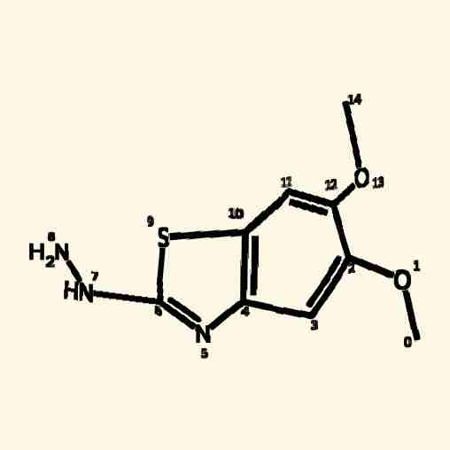 COc1cc2nc(NN)sc2cc1OC